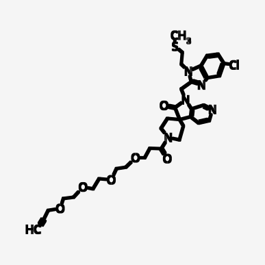 C#CCOCCOCCOCCOCCC(=O)N1CCC2(CC1)C(=O)N(Cc1nc3cc(Cl)ccc3n1CCSC)c1cnccc12